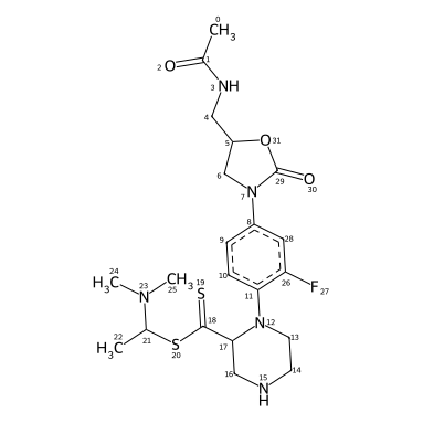 CC(=O)NCC1CN(c2ccc(N3CCNCC3C(=S)SC(C)N(C)C)c(F)c2)C(=O)O1